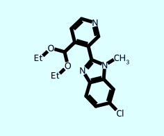 CCOC(OCC)c1ccncc1-c1nc2ccc(Cl)cc2n1C